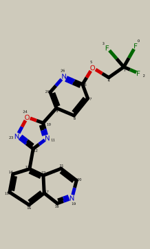 FC(F)(F)COc1ccc(-c2nc(-c3cccc4cnccc34)no2)cn1